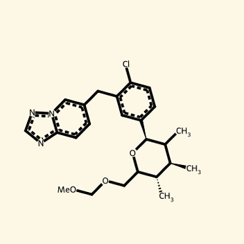 COCOCC1O[C@@H](c2ccc(Cl)c(Cc3ccc4ncnn4c3)c2)C(C)[C@@H](C)[C@@H]1C